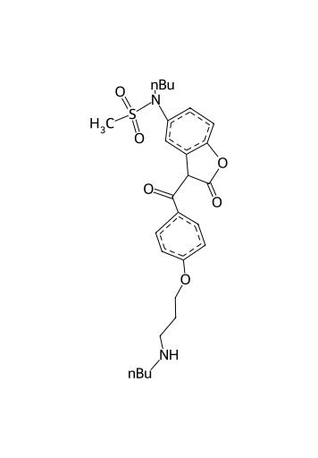 CCCCNCCCOc1ccc(C(=O)C2C(=O)Oc3ccc(N(CCCC)S(C)(=O)=O)cc32)cc1